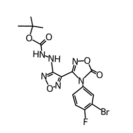 CC(C)(C)OC(=O)NNc1nonc1-c1noc(=O)n1-c1ccc(F)c(Br)c1